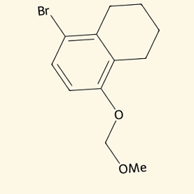 COCOc1ccc(Br)c2c1CCCC2